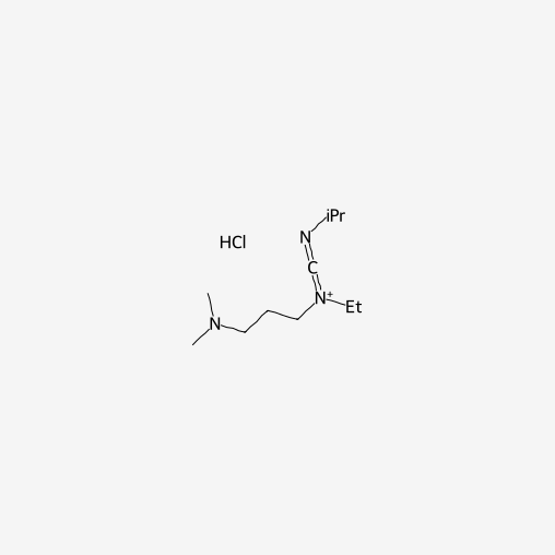 CC[N+](=C=NC(C)C)CCCN(C)C.Cl